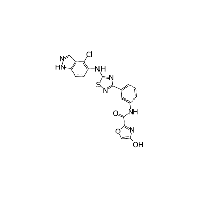 O=C(Nc1cccc(-c2nsc(Nc3ccc4[nH]ncc4c3Cl)n2)c1)c1nc(O)co1